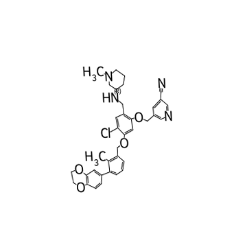 Cc1c(COc2cc(OCc3cncc(C#N)c3)c(CN[C@@H]3CCCN(C)C3)cc2Cl)cccc1-c1ccc2c(c1)OCCO2